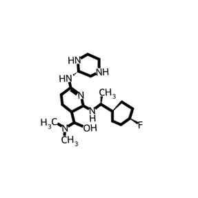 C[C@H](NC1N=C(N[C@H]2CNCCN2)CCC1C(O)N(C)C)[C@H]1CC[C@@H](F)CC1